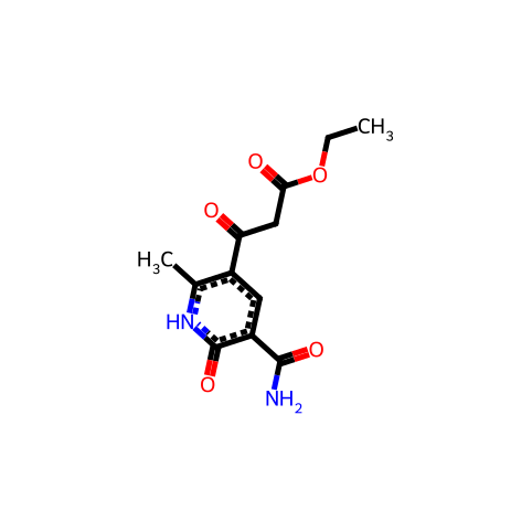 CCOC(=O)CC(=O)c1cc(C(N)=O)c(=O)[nH]c1C